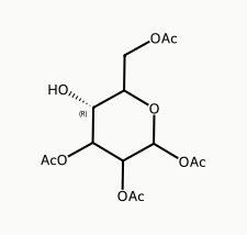 CC(=O)OCC1OC(OC(C)=O)C(OC(C)=O)C(OC(C)=O)[C@@H]1O